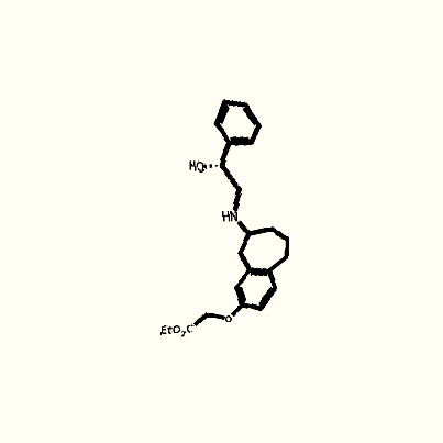 CCOC(=O)COc1ccc2c(c1)CC(NC[C@H](O)c1ccccc1)CCC2